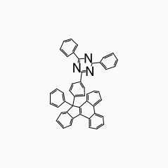 c1ccc(-c2nc(-c3ccccc3)nc(-c3ccc(C4(c5ccccc5)c5ccccc5-c5c4c4ccccc4c4ccccc54)cc3)n2)cc1